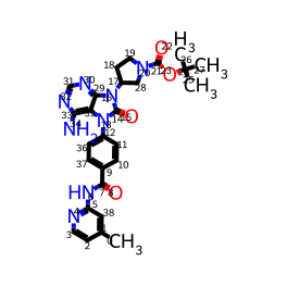 Cc1ccnc(NC(=O)c2ccc(-n3c(=O)n(C4CCN(C(=O)OC(C)(C)C)C4)c4ncnc(N)c43)cc2)c1